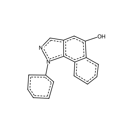 Oc1cc2cnn(-c3ccccc3)c2c2ccccc12